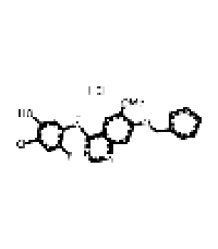 COc1cc2c(Nc3cc(O)c(Cl)cc3F)ncnc2cc1OCc1ccccc1.Cl